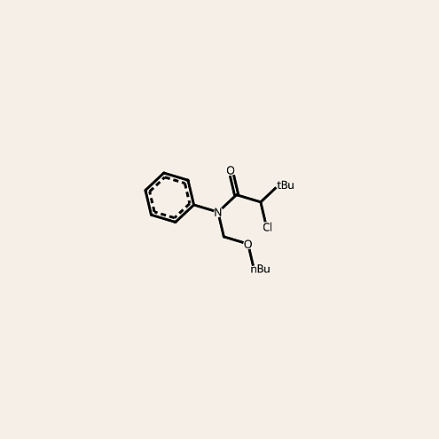 CCCCOCN(C(=O)C(Cl)C(C)(C)C)c1ccccc1